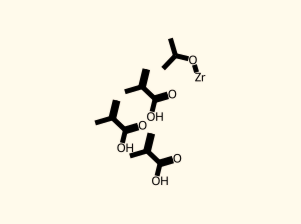 C=C(C)C(=O)O.C=C(C)C(=O)O.C=C(C)C(=O)O.CC(C)[O][Zr]